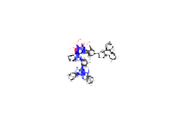 O=c1c2sc3cc(-c4ccc5c6ccccc6c6ccccc6c5c4)ccc3c2n2c3c(c(=O)n12)c1ccccc1n3-c1cccc(-c2nc(-c3ccccc3)nc(-c3ccccc3)n2)c1